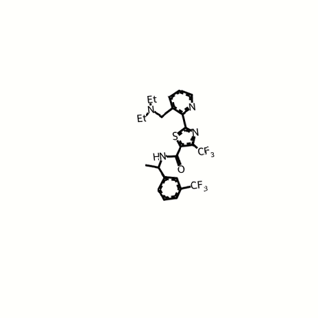 CCN(CC)Cc1cccnc1-c1nc(C(F)(F)F)c(C(=O)NC(C)c2cccc(C(F)(F)F)c2)s1